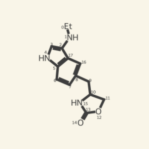 CCNc1c[nH]c2ccc(CC3COC(=O)N3)cc12